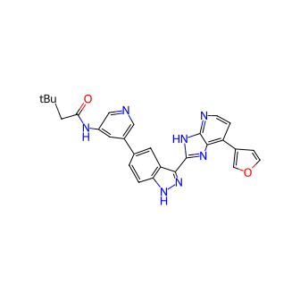 CC(C)(C)CC(=O)Nc1cncc(-c2ccc3[nH]nc(-c4nc5c(-c6ccoc6)ccnc5[nH]4)c3c2)c1